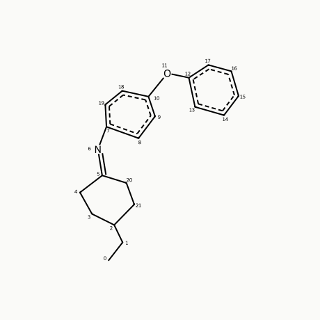 CCC1CCC(=Nc2ccc(Oc3ccccc3)cc2)CC1